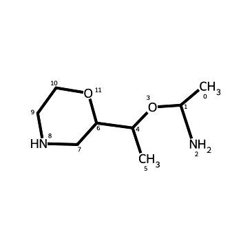 CC(N)OC(C)C1CNCCO1